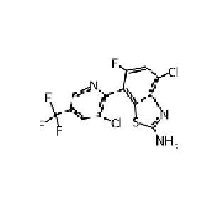 Nc1nc2c(Cl)cc(F)c(-c3ncc(C(F)(F)F)cc3Cl)c2s1